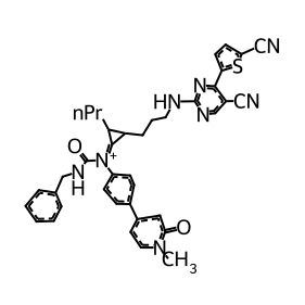 CCCC1/C(=[N+](\C(=O)NCc2ccccc2)c2ccc(-c3ccn(C)c(=O)c3)cc2)C1CCCNc1ncc(C#N)c(-c2ccc(C#N)s2)n1